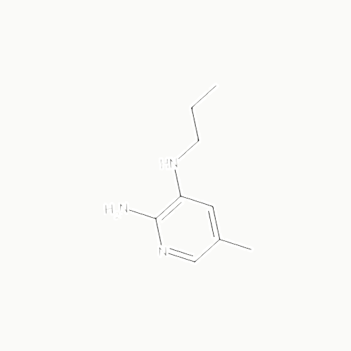 CCCNc1cc(C)cnc1N